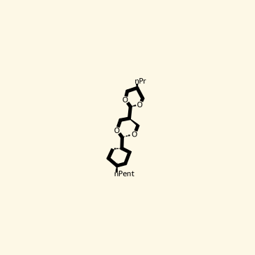 CCCCC[C@H]1CC[C@H]([C@H]2OC[C@H]([C@H]3OC[C@H](CCC)CO3)CO2)CC1